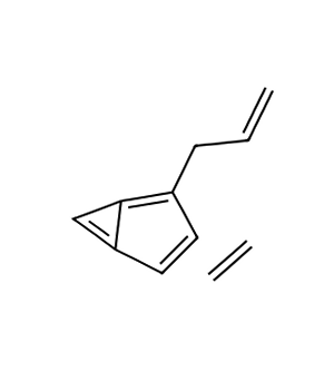 C=C.C=CCc1ccc2cc1-2